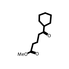 COC(=O)CCCC(=O)C1CCCCC1